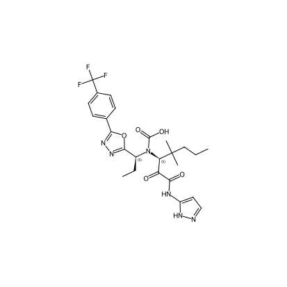 CCCC(C)(C)[C@@H](C(=O)C(=O)Nc1ccn[nH]1)N(C(=O)O)[C@@H](CC)c1nnc(-c2ccc(C(F)(F)F)cc2)o1